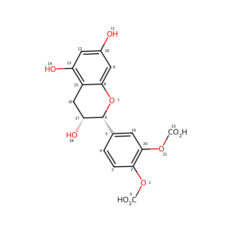 O=C(O)Oc1ccc([C@H]2Oc3cc(O)cc(O)c3C[C@H]2O)cc1OC(=O)O